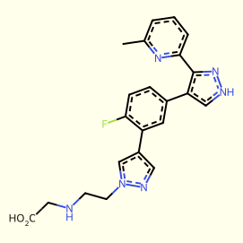 Cc1cccc(-c2n[nH]cc2-c2ccc(F)c(-c3cnn(CCNCC(=O)O)c3)c2)n1